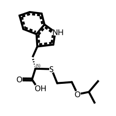 CC(C)OCCS[C@@H](Cc1c[nH]c2ccccc12)C(=O)O